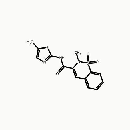 Cc1cnc(NC(=O)C2=Cc3ccccc3S(=O)(=O)N2C)s1